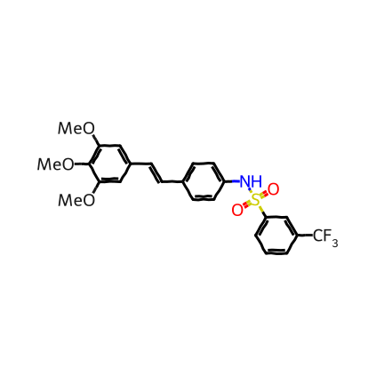 COc1cc(C=Cc2ccc(NS(=O)(=O)c3cccc(C(F)(F)F)c3)cc2)cc(OC)c1OC